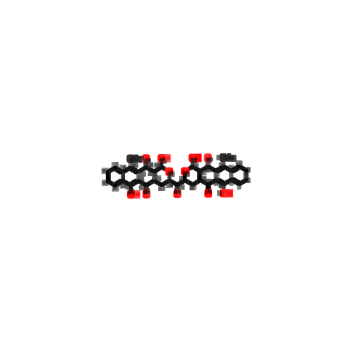 CC(=O)Oc1c2c(c(O)c3ccccc13)C(=O)C1=C(C2=O)C(O)OC(C(=O)C2CC3=C(C(=O)c4c(c(O)c5ccccc5c4OC(C)=O)C3=O)C(O)O2)C1